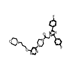 O=C(Cn1nc(-c2ccc(F)cc2)nc1-c1ccc(F)cc1)N1CCN(c2cc(OCCCN3CCOCC3)ncn2)CC1